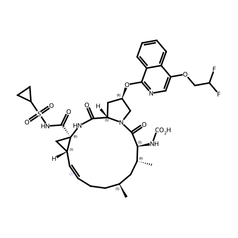 C[C@H]1CC/C=C\[C@@H]2C[C@@]2(C(=O)NS(=O)(=O)C2CC2)NC(=O)[C@@H]2C[C@@H](Oc3ncc(OCC(F)F)c4ccccc34)CN2C(=O)[C@@H](NC(=O)O)[C@H](C)C1